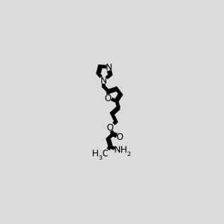 CC(N)=CC(=O)OCC=Cc1ccc(Cn2ccnc2)o1